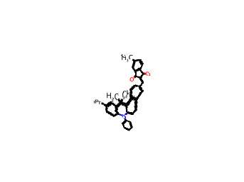 Cc1ccc2c(c1)C(=O)/C(=C\c1ccc3c4c(ccc3c1)N(c1ccccc1)c1ccc(C(C)C)cc1C4(C)C)C2=O